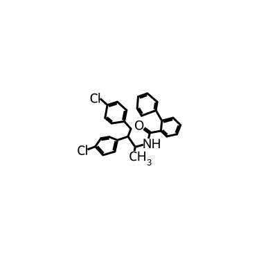 CC(NC(=O)c1ccccc1-c1ccccc1)C(Cc1ccc(Cl)cc1)c1ccc(Cl)cc1